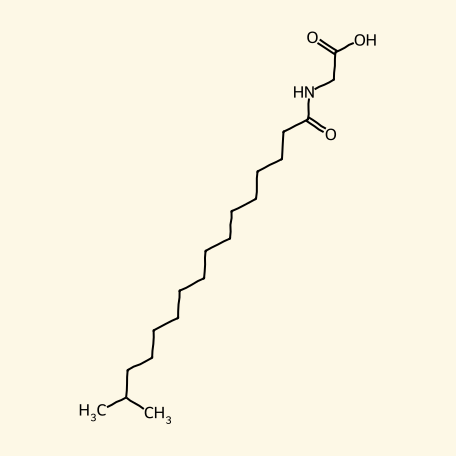 CC(C)CCCCCCCCCCCCCC(=O)NCC(=O)O